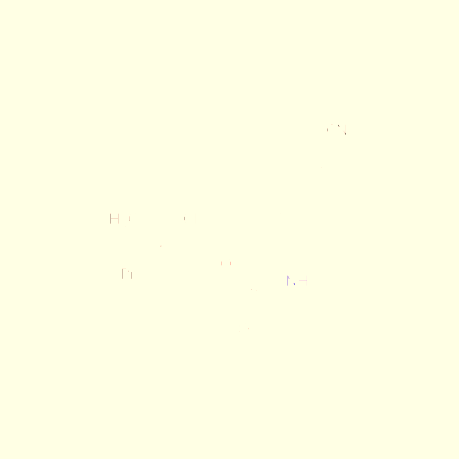 CC(C)C(C)(C)COC(=O)Nc1ccc(C#N)cc1